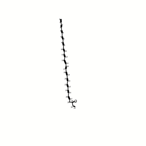 C#CC#CC#CC#CC#CC#CC#CC#CC#CC#CC#CC#CC#CC#CCC(=O)C=C